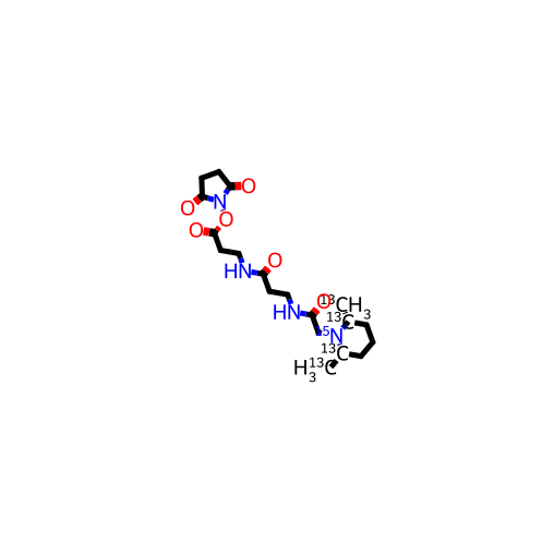 [13CH3][13CH]1CCC[13CH]([13CH3])[15N]1CC(=O)NCCC(=O)NCCC(=O)ON1C(=O)CCC1=O